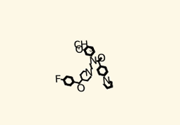 COc1cccc(N(CCN2CCC(C(=O)c3ccc(F)cc3)CC2)C(=O)c2ccc(-n3cccc3)cc2)c1